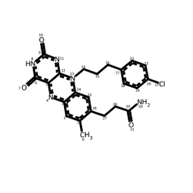 Cc1cc2nc3c(=O)[nH]c(=O)nc-3n(CCCc3ccc(Cl)cc3)c2cc1CCC(N)=O